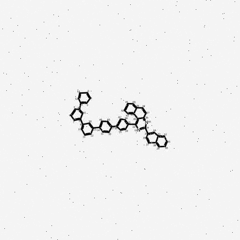 c1ccc(-c2cccc(-c3cccc(-c4ccc(-c5ccc(-c6nc(-c7ccc8ccccc8c7)nc7ccc8ccccc8c67)cc5)cc4)c3)c2)cc1